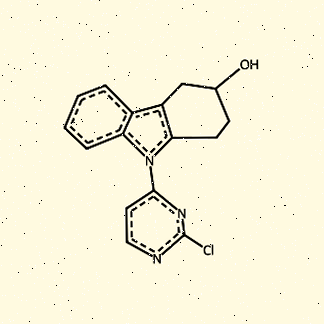 OC1CCc2c(c3ccccc3n2-c2ccnc(Cl)n2)C1